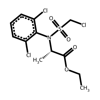 CCOC(=O)[C@H](C)N(c1c(Cl)cccc1Cl)S(=O)(=O)CCl